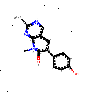 CSc1ncc2cc(-c3ccc(O)cc3)c(=O)n(C)c2n1